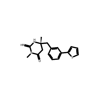 CN1C(=N)N[C@](C)(Cc2cccc(-c3cccs3)c2)CC1=O